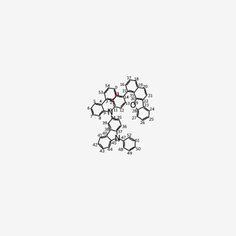 c1ccc(-c2ccccc2N(c2ccc(-c3cccc4ccc5c6ccccc6oc5c34)cc2)c2ccc3c(c2)c2ccccc2n3-c2ccccc2)cc1